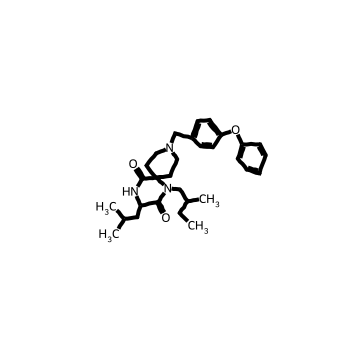 CCC(C)CN1C(=O)C(CC(C)C)NC(=O)C12CCN(Cc1ccc(Oc3ccccc3)cc1)CC2